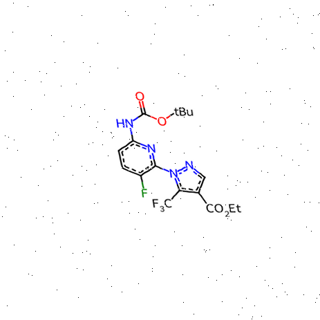 CCOC(=O)c1cnn(-c2nc(NC(=O)OC(C)(C)C)ccc2F)c1C(F)(F)F